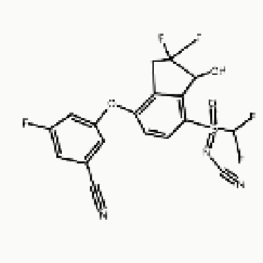 N#CN=S(=O)(c1ccc(Oc2cc(F)cc(C#N)c2)c2c1C(O)C(F)(F)C2)C(F)F